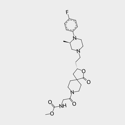 COC(=O)NCC(=O)N1CCC2(CC1)C[C@H](CCN1CCN(c3ccc(F)cc3)[C@H](C)C1)OC2=O